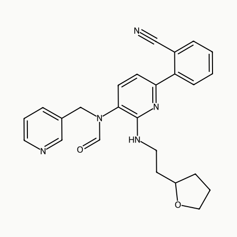 N#Cc1ccccc1-c1ccc(N(C=O)Cc2cccnc2)c(NCCC2CCCO2)n1